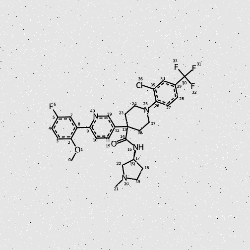 COc1ccc(F)cc1-c1ccc(C2(C(=O)N[C@H]3CCN(C)C3)CCN(c3ccc(C(F)(F)F)cc3Cl)CC2)cn1